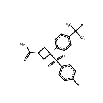 COC(=O)[C@H]1C[C@@](c2ccc(C(F)(C(F)(F)F)C(F)(F)F)cc2)(S(=O)(=O)c2ccc(F)cc2)C1